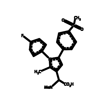 CNC(C(=O)O)c1cc(-c2ccc(S(C)(=O)=O)cc2)n(-c2ccc(F)cc2)c1C